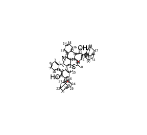 CCSc1cc(-c2ccccc2-c2cc(C)cc(C34CC5CC(CC(C5)C3)C4)c2O)nc(-c2ccccc2-c2cc(C)cc(C34CC5CC(CC(C5)C3)C4)c2O)c1